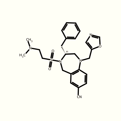 CN(C)CCS(=O)(=O)N1Cc2cc(C#N)ccc2N(Cc2cnco2)C[C@H]1Cc1ccccc1